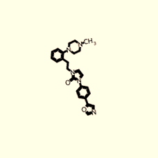 CN1CCN(c2ccccc2CCn2ccn(-c3ccc(-c4cnco4)cc3)c2=O)CC1